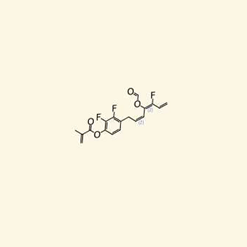 C=C/C(F)=C(\C=C/Cc1ccc(OC(=O)C(=C)C)c(F)c1F)OC=O